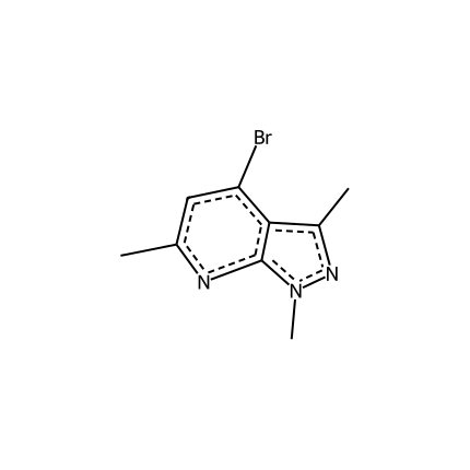 Cc1cc(Br)c2c(C)nn(C)c2n1